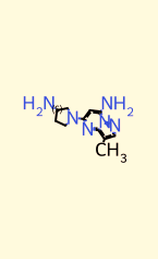 Cc1cnn2c(N)cc(N3CC[C@H](N)C3)nc12